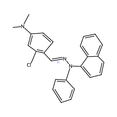 CN(C)c1ccc(/C=N/N(c2ccccc2)c2cccc3ccccc23)c(Cl)c1